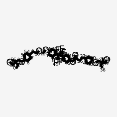 CCC1(COc2ccc(CCOCOc3ccc(C(c4ccc(OC(=O)CCc5ccc(OCC6(CC)COC6)cc5)cc4)(C(F)(F)F)C(F)(F)F)cc3)cc2)COC1